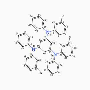 Cc1cccc(N(C2=CC(N(c3ccccc3)c3cccc(C)c3)CC(N(c3ccccc3)c3cccc(C)c3)=C2)c2ccccc2)c1